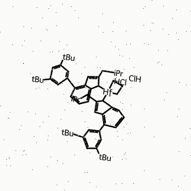 CC(C)CC1=Cc2c(-c3cc(C(C)(C)C)cc(C(C)(C)C)c3)cccc2[CH]1[Hf]1([CH]2C(CC(C)C)=Cc3c(-c4cc(C(C)(C)C)cc(C(C)(C)C)c4)cccc32)[CH2]C[CH2]1.Cl.Cl